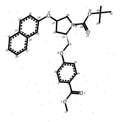 COC(=O)c1ccc(OC[C@@H]2CC(Oc3ccc4ccccc4c3)CN2C(=O)OC(C)(C)C)cc1